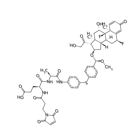 CO[C@H](O[C@@H]1C[C@H]2[C@@H]3C[C@H](F)C4=CC(=O)C=C[C@]4(C)[C@@]3(F)[C@@H](O)C[C@]2(C)[C@H]1C(=O)CO)c1ccc(Sc2ccc(NC(=O)[C@H](C)NC(=O)[C@H](CCC(=O)O)NC(=O)CCN3C(=O)C=CC3=O)cc2)cc1